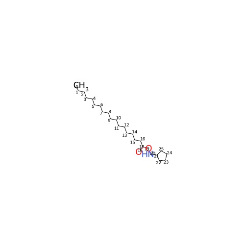 CCCCCCCCCCCCCCCCCC(=O)ONC1CCCC1